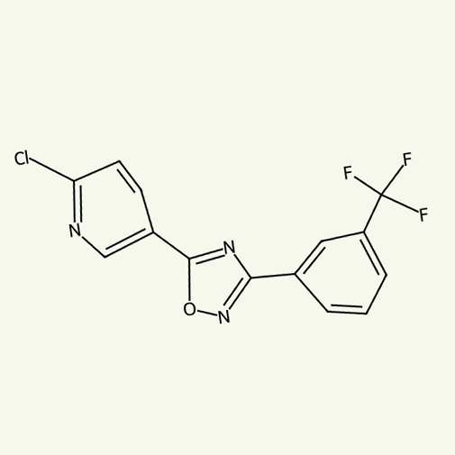 FC(F)(F)c1cccc(-c2noc(-c3ccc(Cl)nc3)n2)c1